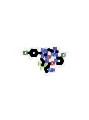 O=C(NC(Cn1c(-c2ccc(Cl)cc2)nn(Cc2ncn(-c3ncccc3Cl)n2)c1=O)C(F)(F)F)C1CCN1